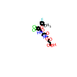 Cc1cc(F)ccc1Oc1cc(Cl)c(Cl)cc1C(=O)Nc1cnn(COC(=O)CCC(=O)O)c(=O)c1